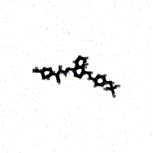 O=C(N/N=C/c1ccc(OCc2ccc(OC(F)(F)F)cc2)c2ccccc12)c1ccc(O)cc1